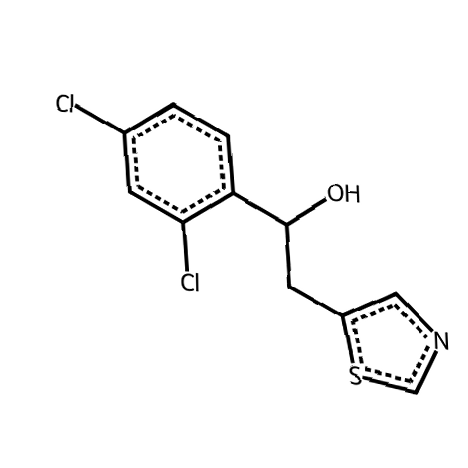 OC(Cc1cncs1)c1ccc(Cl)cc1Cl